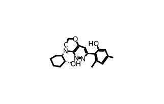 Cc1cc(C)c(-c2cc3c(nn2)N([C@@H]2CCCC[C@H]2O)CCO3)c(O)c1